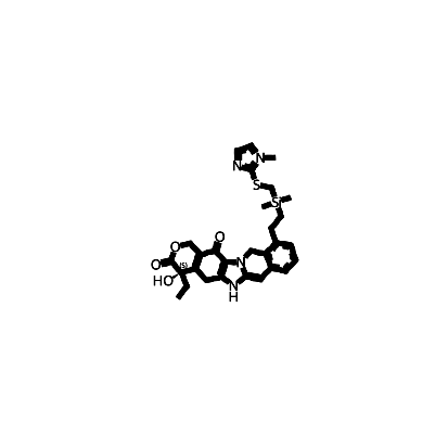 CC[C@@]1(O)C(=O)OCC2=C1CC1=C(C2=O)N2Cc3c(cccc3CC[Si](C)(C)CSc3nccn3C)C=C2N1